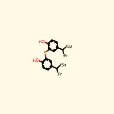 CC(C)C(c1ccc(O)c(Sc2cc(C(C(C)C)C(C)(C)C)ccc2O)c1)C(C)(C)C